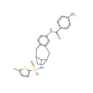 Cc1ccc(S(=O)(=O)NC2C3CCC2Cc2cc(NC(=O)c4ccc(C(F)(F)F)cc4)ccc2C3)s1